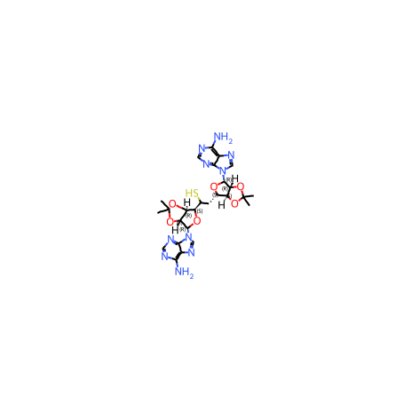 CC1(C)O[C@@H]2[C@@H](O1)[C@H](n1cnc3c(N)ncnc31)O[C@H]2CC(S)[C@H]1O[C@@H](n2cnc3c(N)ncnc32)[C@@H]2OC(C)(C)O[C@H]21